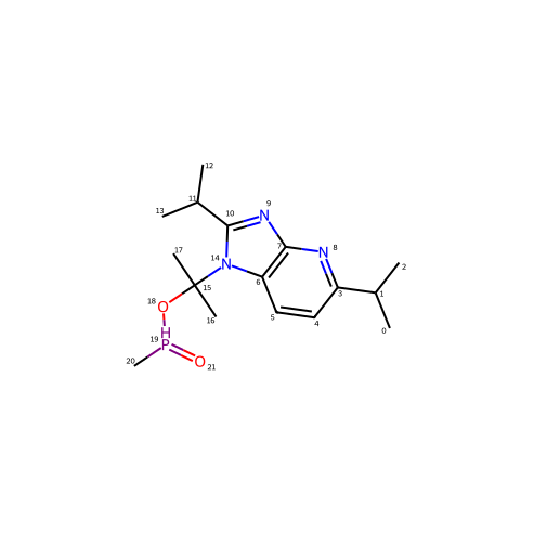 CC(C)c1ccc2c(n1)nc(C(C)C)n2C(C)(C)O[PH](C)=O